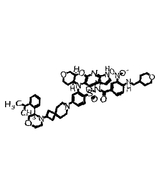 CC(C)c1ccccc1[C@@H]1COCCN1C1CC2(CCN(c3ccc(S(=O)(=O)NC(=O)c4ccc(NCC5CCOCC5)c([N+](=O)[O-])c4)c(N4c5cc6cc[nH]c6nc5O[C@@H]5COCC[C@H]54)c3)CC2)C1